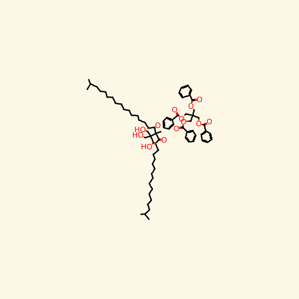 CC(C)CCCCCCCCCCCCCCC(=O)C(C)(C(=O)CCCCCCCCCCCCCCC(C)C)C(CO)(CO)CO.O=C(OCC(COC(=O)c1ccccc1)(COC(=O)c1ccccc1)COC(=O)c1ccccc1)c1ccccc1